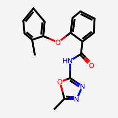 Cc1nnc(NC(=O)c2ccccc2Oc2ccccc2C)o1